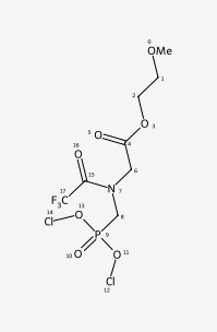 COCCOC(=O)CN(CP(=O)(OCl)OCl)C(=O)C(F)(F)F